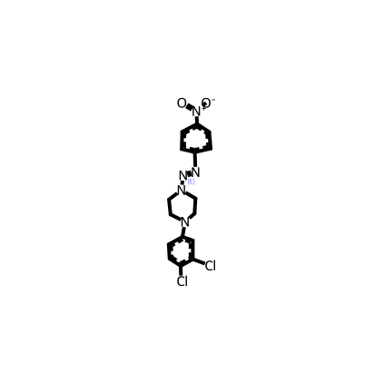 O=[N+]([O-])c1ccc(/N=N/N2CCN(c3ccc(Cl)c(Cl)c3)CC2)cc1